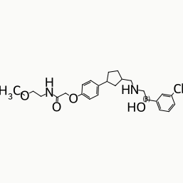 COCCNC(=O)COc1ccc(C2CCC(CNC[C@H](O)c3cccc(Cl)c3)C2)cc1